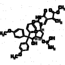 C=C(C(=O)OC)c1cn([C@H]2C[C@H](OP(N)O)[C@@H](C(O)C(c3ccccc3)(c3ccc(OC)cc3)c3ccc(OC)cc3)O2)c(=O)[nH]c1=O